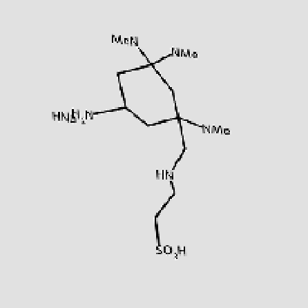 CNC1(CNCCS(=O)(=O)O)CC(N)CC(NC)(NC)C1.[NaH]